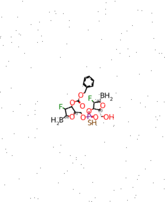 B[C@@H]1O[C@H](COP(=O)(S)OC2C(F)[C@H](B)O[C@@H]2CO)C(OC(=O)OCc2ccccc2)C1F